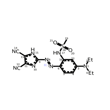 CCN(CC)c1ccc(/N=N/c2nc(C#N)c(C#N)[nH]2)c(NS(C)(=O)=O)c1